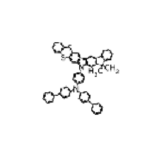 CC1(C)c2ccccc2-c2cc3c4cc5c(cc4n(-c4ccc(N(c6ccc(-c7ccccc7)cc6)c6ccc(-c7ccccc7)cc6)cc4)c3cc21)Sc1ccccc1S5